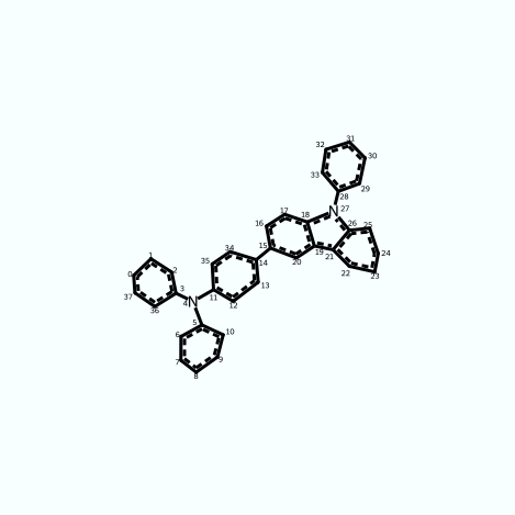 c1ccc(N(c2ccccc2)c2ccc(-c3ccc4c(c3)c3ccccc3n4-c3ccccc3)cc2)cc1